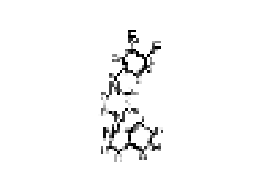 Fc1ccc(CN2CCN(c3nccc4ccccc34)CC2)cc1F